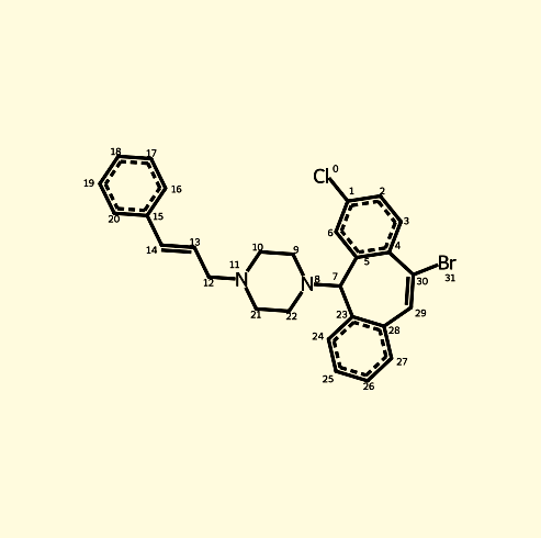 Clc1ccc2c(c1)C(N1CCN(CC=Cc3ccccc3)CC1)c1ccccc1C=C2Br